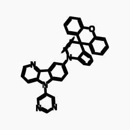 c1ccc2c(c1)Oc1ccccc1C21c2ccccc2N(c2ccc3c(c2)c2ncccc2n3-c2cncnc2)c2ccccc21